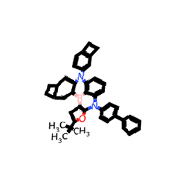 CC(C)(C)C1CC2B3c4c(cccc4N(c4ccc(-c5ccccc5)cc4)C2O1)N(c1ccc2c(c1)CC2)C1CC2CCC2CC31